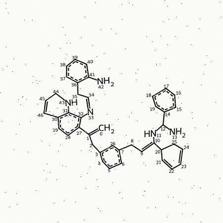 C=C(Cc1cccc(C/C=C(\NC(N)c2ccccc2)C2C=CC=CC2)c1)c1ccc2c(c1/N=C\Cc1ccccc1N)NCC=C2